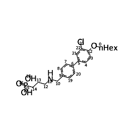 CCCCCCOc1ccc(-c2ccc(CNCCCP(=O)(O)O)cc2)cc1Cl